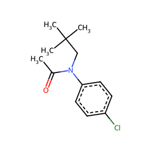 CC(=O)N(CC(C)(C)C)c1ccc(Cl)cc1